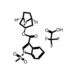 CN1[C@@H]2CC[C@H]1C[C@@H](OC(=O)c1cn(S(C)(=O)=O)c3ccccc13)C2.O=C(O)C(F)(F)F